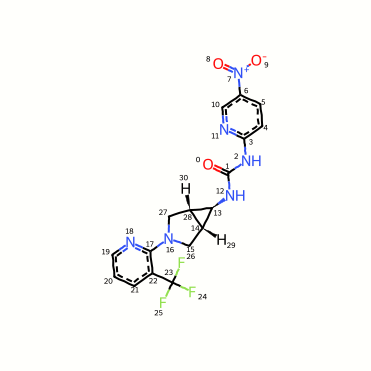 O=C(Nc1ccc([N+](=O)[O-])cn1)N[C@H]1[C@@H]2CN(c3ncccc3C(F)(F)F)C[C@@H]21